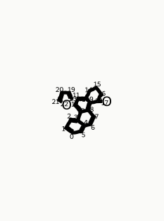 c1ccc2c(c1)ccc1c3c(ccc12)CCC1OC31.c1ccoc1